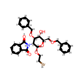 O=C1c2ccccc2C(=O)N1[C@H]1[C@H](OCCBr)O[C@H](COCc2ccccc2)[C@@H](O)[C@@H]1OCc1ccccc1